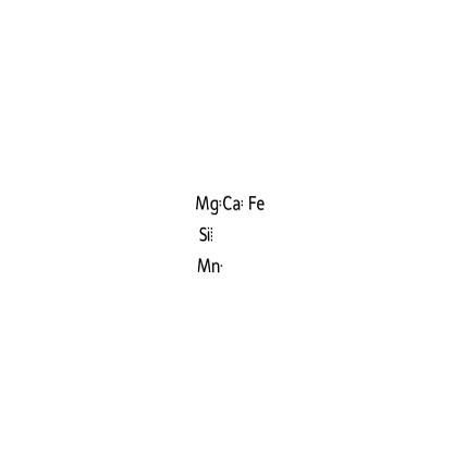 [Ca].[Fe].[Mg].[Mn].[Si]